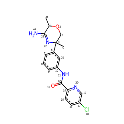 CC1OCC(C)(c2cccc(NC(=O)c3ccc(Cl)cn3)c2)N=C1N